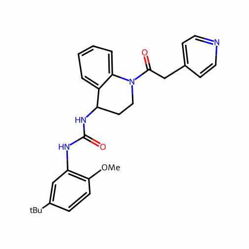 COc1ccc(C(C)(C)C)cc1NC(=O)NC1CCN(C(=O)Cc2ccncc2)c2ccccc21